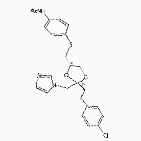 CC(=O)Nc1ccc(SC[C@@H]2CO[C@](CCc3ccc(Cl)cc3)(Cn3ccnc3)O2)cc1